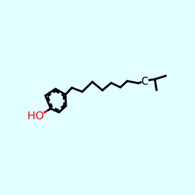 CC(C)CCCCCCCCCc1ccc(O)cc1